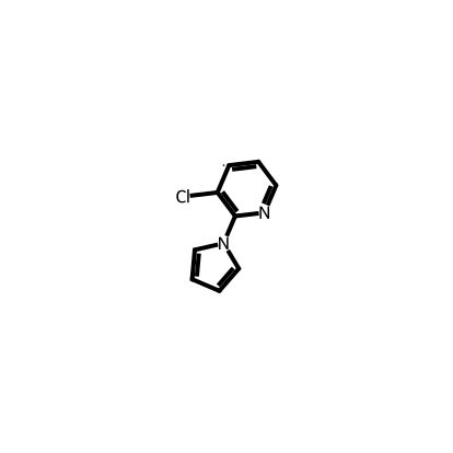 Clc1[c]ccnc1-n1cccc1